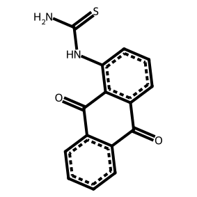 NC(=S)Nc1cccc2c1C(=O)c1ccccc1C2=O